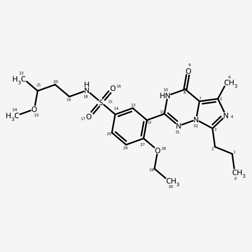 CCCc1nc(C)c2c(=O)[nH]c(-c3cc(S(=O)(=O)NCCC(C)OC)ccc3OCC)nn12